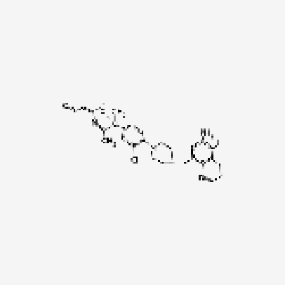 CC(=C/C=O)/N=C(/C)N(C)c1ccc(N2CCC(Cc3cc(P)c(F)c4c3N=CCC4)CC2)c(Cl)c1